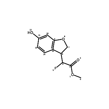 COC(=O)C(F)C1COc2cc(O)ccc21